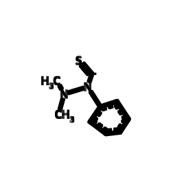 CN(C)N([C]=S)c1ccccc1